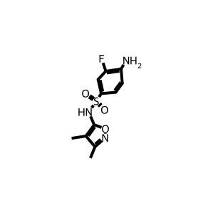 Cc1noc(NS(=O)(=O)c2ccc(N)c(F)c2)c1C